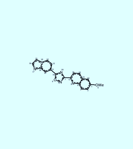 COc1ccc2nc(-c3noc(-c4ccn5ccnc5c4)n3)ccc2c1